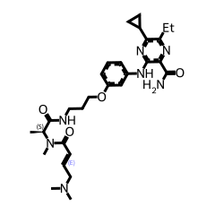 CCc1nc(C(N)=O)c(Nc2cccc(OCCCNC(=O)[C@H](C)N(C)C(=O)/C=C/CN(C)C)c2)nc1C1CC1